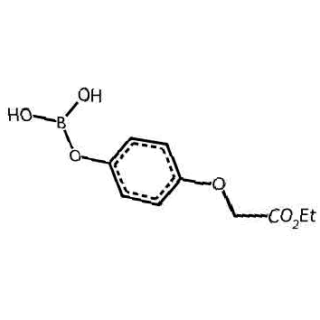 CCOC(=O)COc1ccc(OB(O)O)cc1